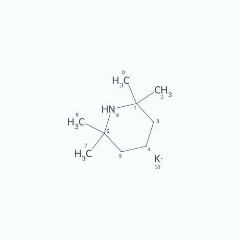 CC1(C)CCCC(C)(C)N1.[K]